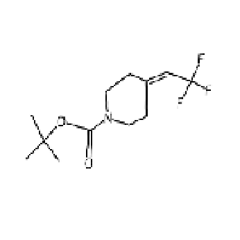 CC(C)(C)OC(=O)N1CCC(=CC(F)(F)F)CC1